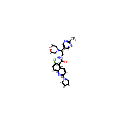 O=C(NCC(c1cnc(C(F)(F)F)nc1)N1CCOCC1)c1c(Cl)ccc2nc(N3CCCC3)ccc12